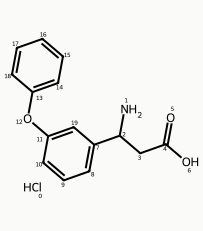 Cl.NC(CC(=O)O)c1cccc(Oc2ccccc2)c1